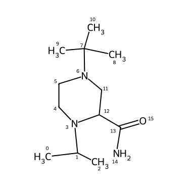 CC(C)N1CCN(C(C)(C)C)CC1C(N)=O